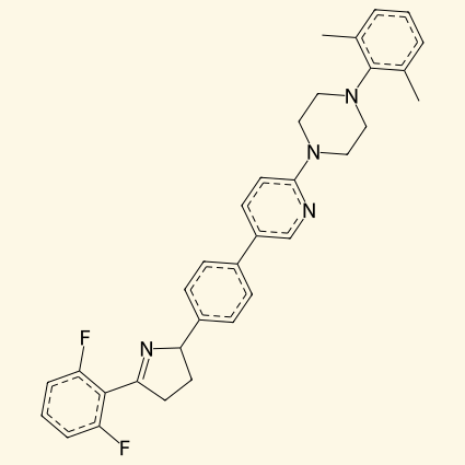 Cc1cccc(C)c1N1CCN(c2ccc(-c3ccc(C4CCC(c5c(F)cccc5F)=N4)cc3)cn2)CC1